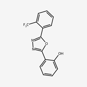 Oc1ccccc1-c1nnc(-c2ccccc2C(F)(F)F)o1